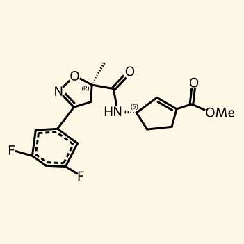 COC(=O)C1=C[C@@H](NC(=O)[C@@]2(C)CC(c3cc(F)cc(F)c3)=NO2)CC1